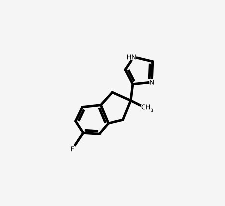 CC1(c2c[nH]cn2)Cc2ccc(F)cc2C1